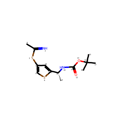 CC(=N)Sc1csc([C@@H](C)NC(=O)OC(C)(C)C)c1